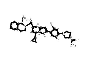 C[C@@H]1c2ccccc2CCN1C(=O)c1cc(C2CC2)n2nc(-c3cnc(N4CC[C@H](C(N)=O)C4)cc3F)cc2n1